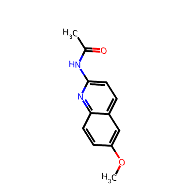 COc1ccc2nc(NC(C)=O)ccc2c1